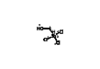 O[CH2][SbH]([Cl])([Cl])[Cl]